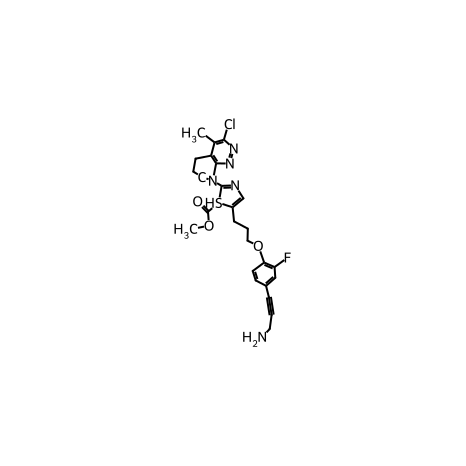 COC(=O)[SH]1C(CCCOc2ccc(C#CCN)cc2F)=CN=C1N1CCCc2c1nnc(Cl)c2C